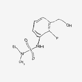 CCN(C)S(=O)(=O)Nc1cccc(CO)c1F